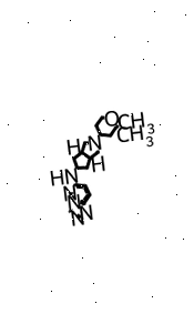 CC1(C)CC(N2C[C@H]3CC(Nc4ccc5nncn5n4)C[C@H]3C2)CCO1